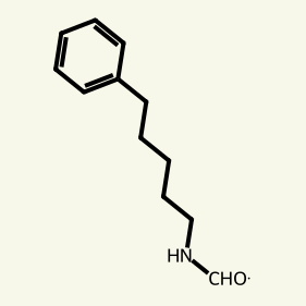 O=[C]NCCCCCc1ccccc1